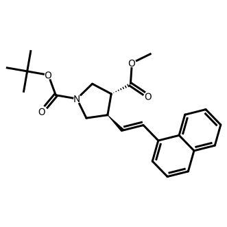 COC(=O)[C@H]1CN(C(=O)OC(C)(C)C)C[C@@H]1C=Cc1cccc2ccccc12